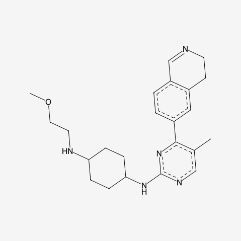 COCCNC1CCC(Nc2ncc(C)c(-c3ccc4c(c3)CCN=C4)n2)CC1